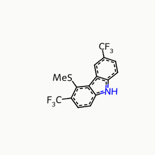 CSc1c(C(F)(F)F)ccc2[nH]c3ccc(C(F)(F)F)cc3c12